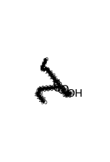 CCCCC/C=C\C/C=C\CCCCCCCCOCC(COC(=O)CC1CCC(O)C1)OCCCCCCCC/C=C\C/C=C\CCCCC